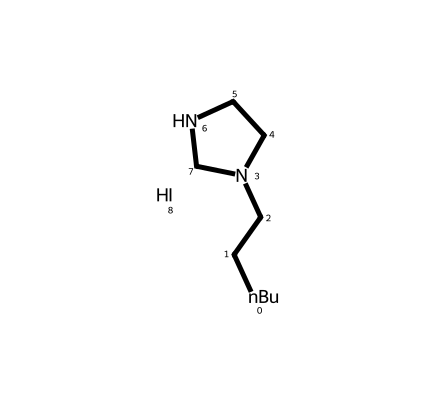 CCCCCCN1CCNC1.I